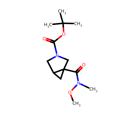 CON(C)C(=O)C12CC1CN(C(=O)OC(C)(C)C)C2